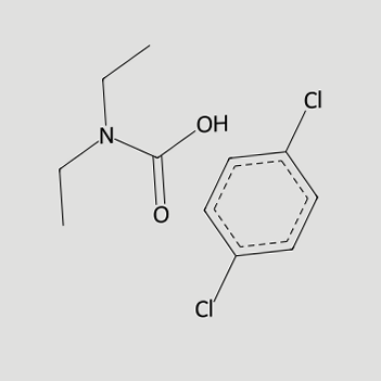 CCN(CC)C(=O)O.Clc1ccc(Cl)cc1